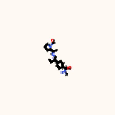 CC/C(=C\N=C(/C)C1CCCN1C=O)c1ccc(C(=O)NC)cc1